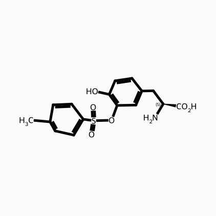 Cc1ccc(S(=O)(=O)Oc2cc(C[C@H](N)C(=O)O)ccc2O)cc1